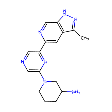 Cc1n[nH]c2cnc(-c3cncc(N4CCCC(N)C4)n3)cc12